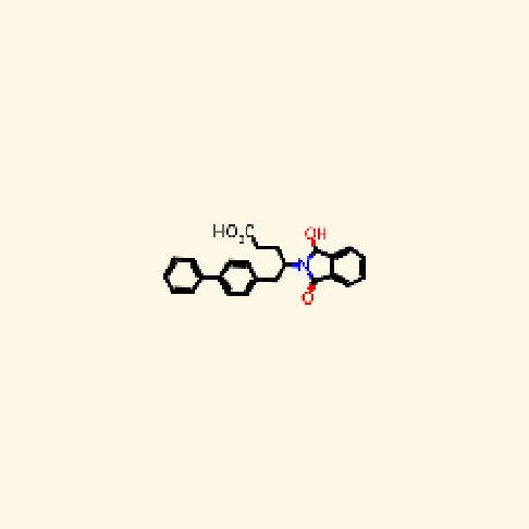 O=C(O)CCC(Cc1ccc(-c2ccccc2)cc1)N1C(=O)c2ccccc2C1O